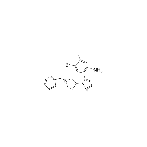 Cc1cc(N)c(-c2ccnn2C2CCN(Cc3ccccc3)C2)cc1Br